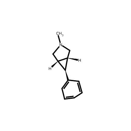 CN1C[C@@H]2[C@H](C1)[C@H]2c1ccccc1